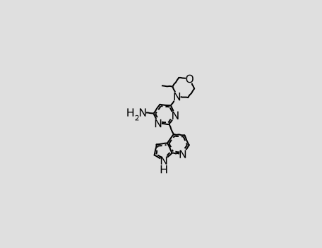 CC1COCCN1c1cc(N)nc(-c2ccnc3[nH]ccc23)n1